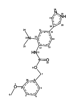 COc1cccc(COC(=O)Nc2ccc(-c3cn[nH]c3)cc2N(C)C)c1